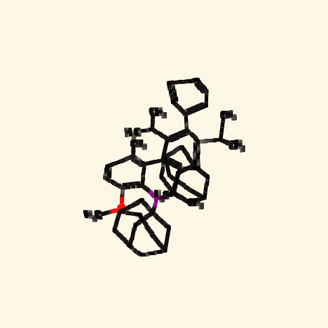 COc1ccc(C)c(-c2c(C(C)C)cc(C(C)C)c(-c3ccccc3)c2C(C)C)c1P(C12CC3CC(CC(C3)C1)C2)C12CC3CC(CC(C3)C1)C2